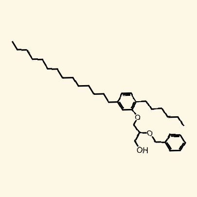 CCCCCCCCCCCCCCc1ccc(CCCCCC)c(OCC(CO)OCc2ccccc2)c1